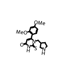 COc1ccc(-c2cc(=O)[nH]c(=S)n2CC2CCNC2)c(OC)c1